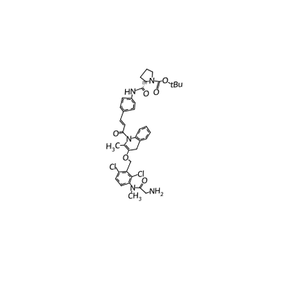 CC1=C(OCc2c(Cl)ccc(N(C)C(=O)CN)c2Cl)Cc2ccccc2N1C(=O)C=Cc1ccc(NC(=O)[C@@H]2CCCN2C(=O)OC(C)(C)C)cc1